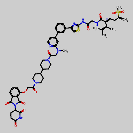 C=C(C/C=C(/C(=O)NCC(=O)Nc1nc(-c2cccc(-c3ccnc(N(C)CC(=O)N4CCC(C5CCN(C(=O)COc6cccc7c6C(=O)N(C6CCC(=O)NC6=O)C7=O)CC5)CC4)c3)c2)cs1)C(C)=C(C)C)S(C)(=O)=O